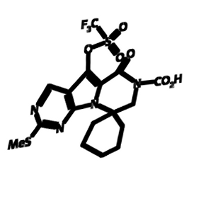 CSc1ncc2c(OS(=O)(=O)C(F)(F)F)c3n(c2n1)C1(CCCCC1)CN(C(=O)O)C3=O